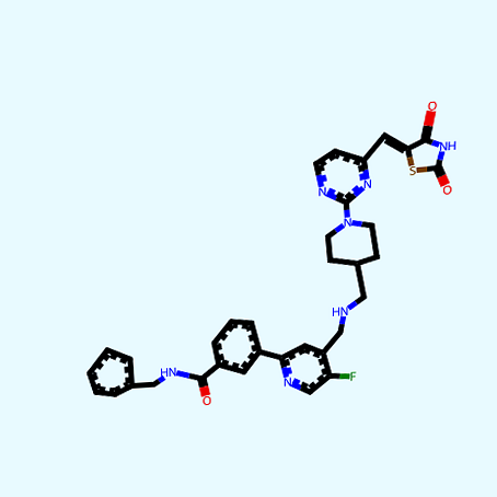 O=C1NC(=O)C(=Cc2ccnc(N3CCC(CNCc4cc(-c5cccc(C(=O)NCc6ccccc6)c5)ncc4F)CC3)n2)S1